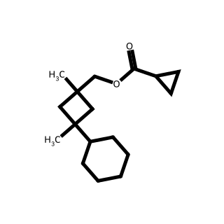 CC1(COC(=O)C2CC2)CC(C)(C2CCCCC2)C1